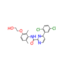 Cc1ccc(OCCO)c(C)c1NC(=O)c1nccc(-c2cc(Cl)ccc2Cl)n1